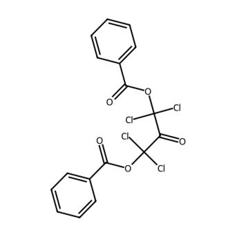 O=C(OC(Cl)(Cl)C(=O)C(Cl)(Cl)OC(=O)c1ccccc1)c1ccccc1